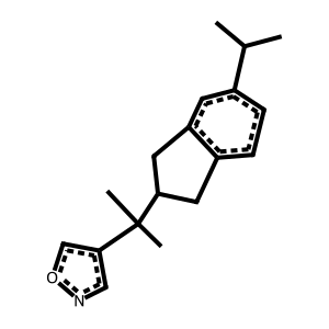 CC(C)c1ccc2c(c1)CC(C(C)(C)c1cnoc1)C2